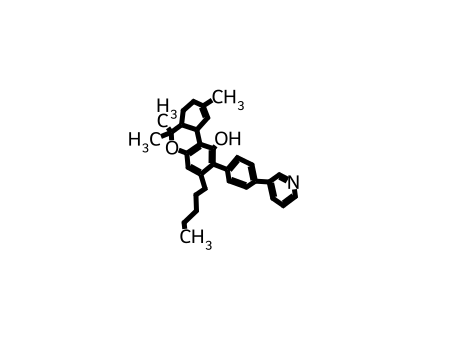 CCCCCc1cc2c(c(O)c1-c1ccc(-c3cccnc3)cc1)C1C=C(C)CCC1C(C)(C)O2